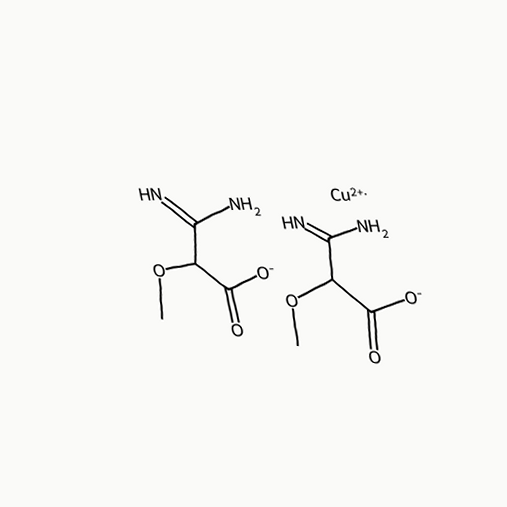 COC(C(=N)N)C(=O)[O-].COC(C(=N)N)C(=O)[O-].[Cu+2]